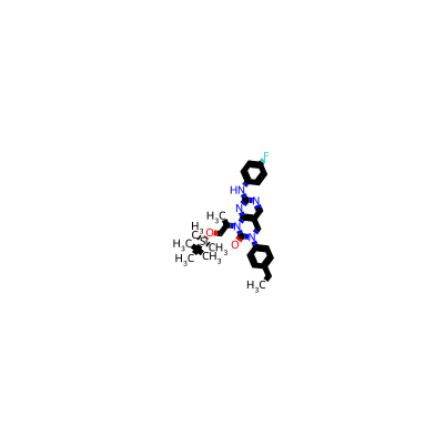 CCc1ccc(N2Cc3cnc(Nc4ccc(F)cc4)nc3N(C(C)CO[Si](C)(C)C(C)(C)C)C2=O)cc1